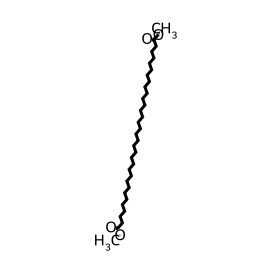 COC(=O)CCCCCCCCCCCCCCCCCCCCCCCCCCCCCCCC(=O)OC